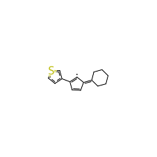 [C]1=C(c2ccsc2)C=CC1=C1CCCCC1